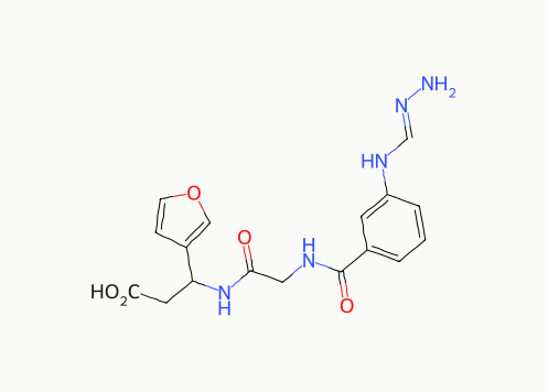 NN=CNc1cccc(C(=O)NCC(=O)NC(CC(=O)O)c2ccoc2)c1